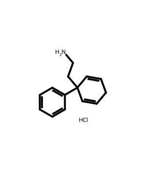 Cl.NCCC1(c2ccccc2)C=CCC=C1